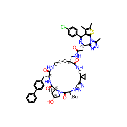 Cc1sc2c(c1C)C(c1ccc(Cl)cc1)=N[C@@H](CC(=O)NC[C@H]1CCCNC(=O)[C@@H](Cc3ccc(-c4ccccc4)cc3)NC(=O)[C@@H]3C[C@@H](O)CN3C(=O)C(C(C)(C)C)n3cc(nn3)C3(CC3)CNC1=O)c1nnc(C)n1-2